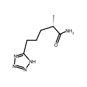 C[C@@H](C[CH]Cc1nnn[nH]1)C(N)=O